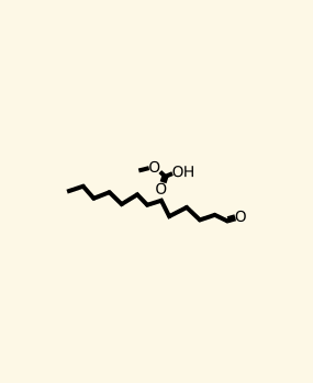 CCCCCCCCCCCCC=O.COC(=O)O